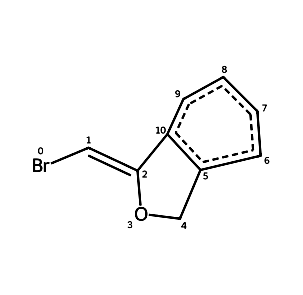 BrC=C1OCc2ccccc21